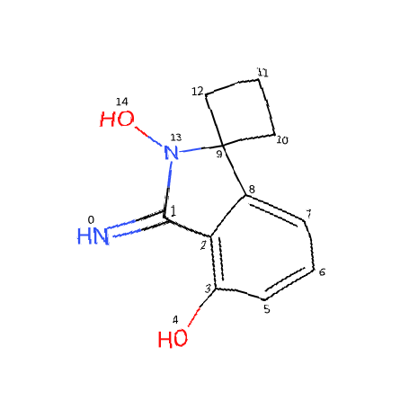 N=C1c2c(O)cccc2C2(CCC2)N1O